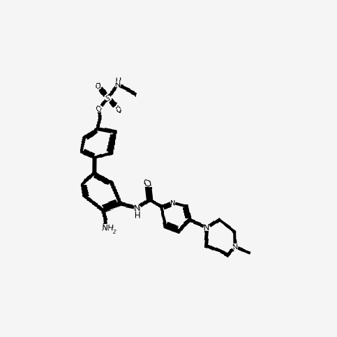 CNS(=O)(=O)Oc1ccc(-c2ccc(N)c(NC(=O)c3ccc(N4CCN(C)CC4)cn3)c2)cc1